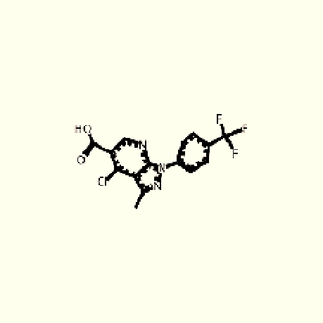 Cc1nn(-c2ccc(C(F)(F)F)cc2)c2ncc(C(=O)O)c(Cl)c12